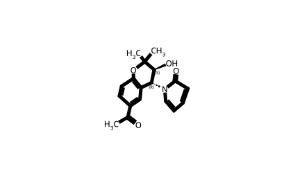 CC(=O)c1ccc2c(c1)[C@@H](n1ccccc1=O)[C@H](O)C(C)(C)O2